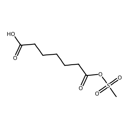 CS(=O)(=O)OC(=O)CCCCCC(=O)O